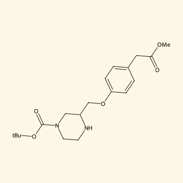 COC(=O)Cc1ccc(OCC2CN(C(=O)OC(C)(C)C)CCN2)cc1